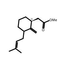 C=C1C(CC=C(C)C)CCC[C@H]1CC(=O)OC